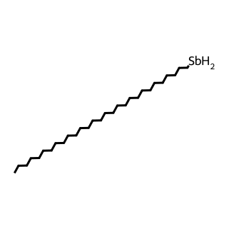 CCCCCCCCCCCCCCCCCCCCCCCCCCCC[CH2][SbH2]